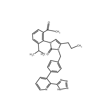 CCCc1cn(-c2c(C(C)=O)cccc2C(C)C)c(=O)n1Cc1ccc(-c2cccnc2-c2nnn[nH]2)cc1